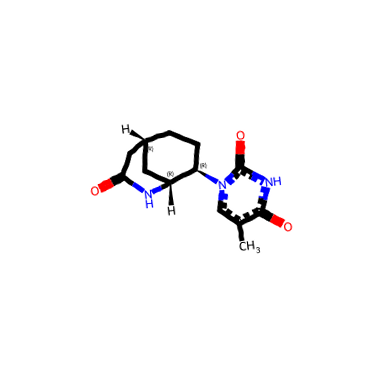 Cc1cn([C@@H]2CC[C@H]3CC(=O)N[C@@H]2C3)c(=O)[nH]c1=O